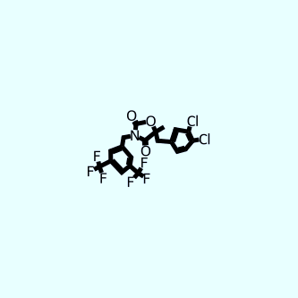 CC1(Cc2ccc(Cl)c(Cl)c2)OC(=O)N(Cc2cc(C(F)(F)F)cc(C(F)(F)F)c2)C1=O